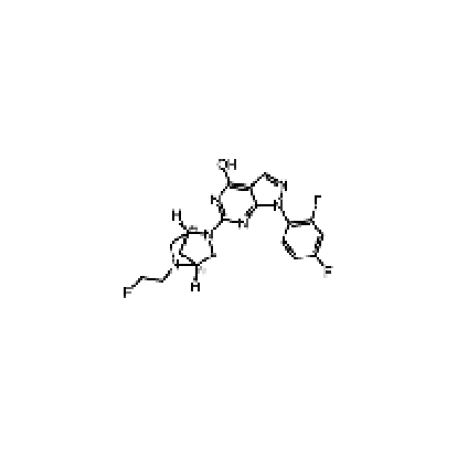 Oc1nc(N2C[C@H]3C[C@@H]2CN3CCF)nc2c1cnn2-c1ccc(F)cc1F